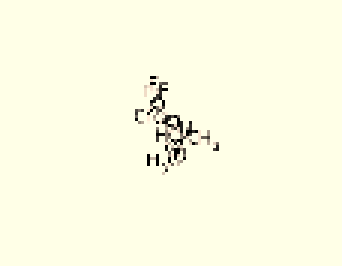 COC(=O)CC(O)C(C)Oc1ccc(Oc2ccc(C(F)(F)F)cc2Cl)cc1